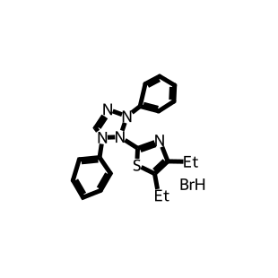 Br.CCc1nc(N2N(c3ccccc3)C=NN2c2ccccc2)sc1CC